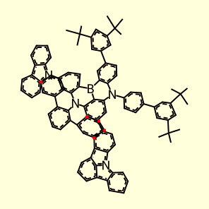 CC(C)(C)c1cc(-c2ccc(N3c4ccc(-c5cc(C(C)(C)C)cc(C(C)(C)C)c5)cc4B4c5ccc(-n6c7ccccc7c7ccccc76)cc5N(c5c(-c6ccccc6)cccc5-c5ccccc5)c5cc(-c6ccc7c(c6)c6cccc8c9ccccc9n7c86)cc3c54)cc2)cc(C(C)(C)C)c1